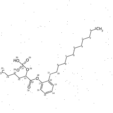 CCCCCCCCCCCCc1ccccc1OC(=O)C(CCCC)OS(=O)(=O)O